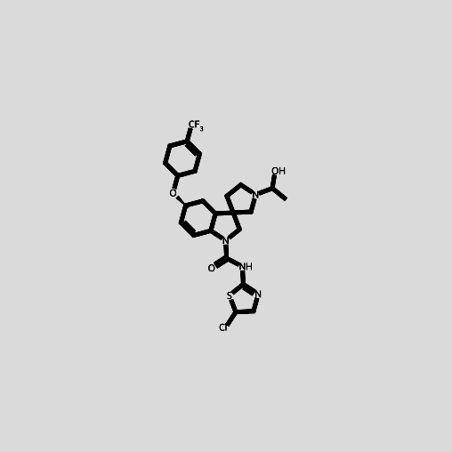 CC(O)N1CCC2(C1)CN(C(=O)NC1=NCC(Cl)S1)C1C=C[C@@H](OC3CC=C(C(F)(F)F)CC3)CC12